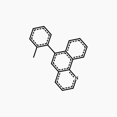 Cc1ccccc1-c1cc2cccnc2c2ccccc12